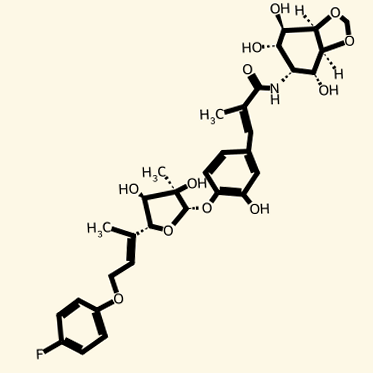 CC(=Cc1ccc(O[C@@H]2O[C@H](C(C)=CCOc3ccc(F)cc3)[C@@H](O)[C@@]2(C)O)c(O)c1)C(=O)N[C@@H]1[C@H](O)[C@@H](O)[C@H]2OCO[C@H]2[C@@H]1O